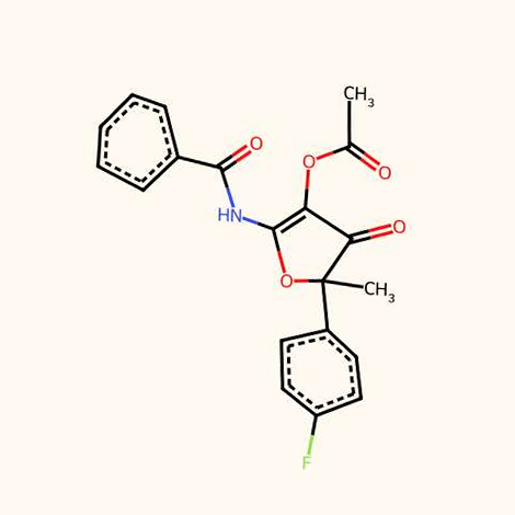 CC(=O)OC1=C(NC(=O)c2ccccc2)OC(C)(c2ccc(F)cc2)C1=O